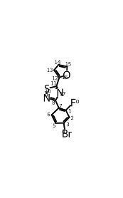 Fc1cc(Br)ccc1-c1nsc(-c2ccco2)n1